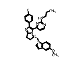 CCCNc1nccc(-c2c(-c3ccc(F)cc3)nc3n2[C@H](Cn2ccc4cc(OC)ccc42)CC3)n1